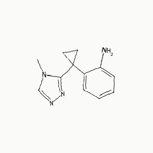 Cn1cnnc1C1(c2ccccc2N)CC1